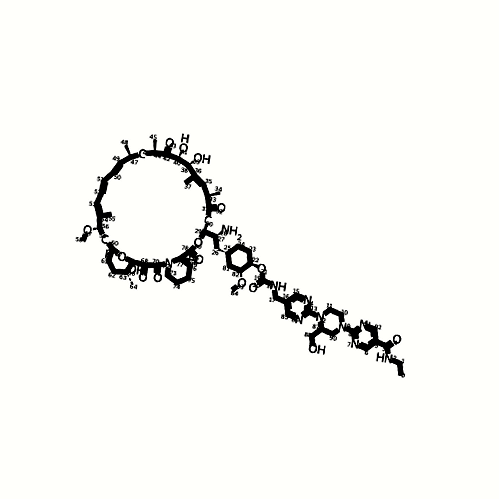 CCNC(=O)c1cnc(N2CCN(c3ncc(CNC(=O)O[C@@H]4CC[C@@H](C[C@@H](N)[C@@H]5CC(=O)[C@H](C)/C=C(\C)[C@@H](O)[C@@H](O)C(=O)[C@H](C)C[C@H](C)/C=C/C=C/C=C(\C)[C@@H](OC)C[C@@H]6CC[C@@H](C)[C@@](O)(O6)C(=O)C(=O)N6CCCC[C@H]6C(=O)O5)C[C@H]4OC)cn3)C(CO)C2)nc1